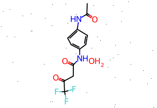 CC(=O)Nc1ccc(NC(=O)CC(=O)C(F)(F)F)cc1.O